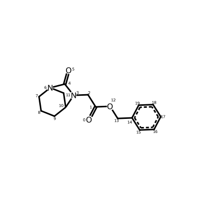 O=C(CN1C(=O)N2CCCC1C2)OCc1ccccc1